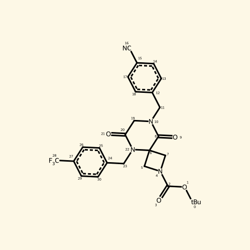 CC(C)(C)OC(=O)N1CC2(C1)C(=O)N(Cc1ccc(C#N)cc1)CC(=O)N2Cc1ccc(C(F)(F)F)cc1